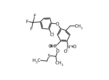 CCSC(C)O[PH](=O)c1cc(Oc2ccc(C(F)(F)F)cc2Cl)c(CC)cc1[N+](=O)[O-]